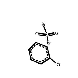 Clc1ccccc1.O=S(=O)(Br)Br